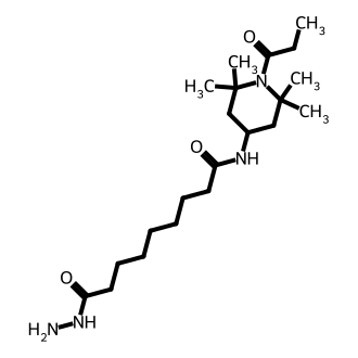 CCC(=O)N1C(C)(C)CC(NC(=O)CCCCCCCC(=O)NN)CC1(C)C